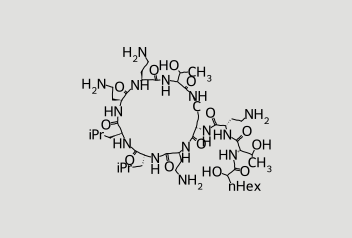 CCCCCCC(O)C(=O)N[C@H](C(=O)N[C@@H](CCN)C(=O)N[C@H]1CCNC(=O)C(C(C)O)NC(=O)[C@H](CCN)NC(=O)[C@H](CCN)NC(=O)[C@H](CC(C)C)NC(=O)[C@@H](CC(C)C)NC(=O)[C@H](CCN)NC1=O)C(C)O